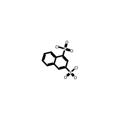 O=S(=O)(Cl)c1cc(S(=O)(=O)Cl)c2ccccc2c1